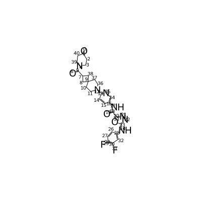 O=C1CCN(C(=O)C2CC3(CCN(c4ccc(NC(=O)c5nnc(Nc6ccc(F)c(F)c6)o5)cn4)CC3)C2)CC1